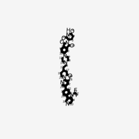 O=C1CCC(N2C(=O)c3ccc(N4CCN(CCC5CCN(c6ncc(-c7ccc8c9cnccc9n(C(F)F)c8c7)cc6F)C(=O)C5)CC4)cc3C2=O)C(=O)N1